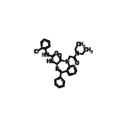 CCN(CC)C(=O)CN1C(=O)C(NC(=O)Nc2ccccc2Cl)N=C(c2ccccc2)c2ccccc21